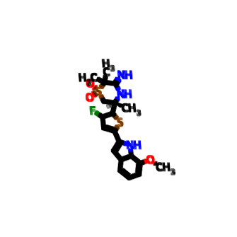 COC1=CC=CC2C=C(C3=CC(F)C([C@]4(C)CS(=O)(=O)C(C)(C)C(=N)N4)S3)NC12